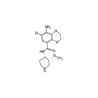 CO[C@@H]1CNCC[C@@H]1NC(=O)c1cc(Cl)c(N)c2c1OCCO2